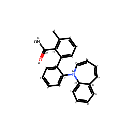 Cc1cccc(-c2ccccc2N2C=CC=Cc3ccccc32)c1C(=O)N=O